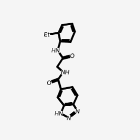 CCc1ccccc1NC(=O)CNC(=O)c1ccc2nn[nH]c2c1